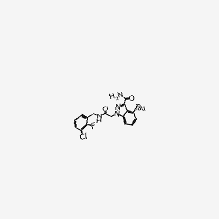 CCC(C)c1cccc2c1c(C(N)=O)nn2CC(=O)NCc1cccc(Cl)c1F